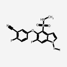 CNS(=O)(=O)c1c(Oc2ccc(F)c(C#N)c2)c(F)cc2c1ccn2SI